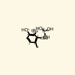 Cc1ccc(O)c(C(C)(C)C)c1C(C)(C)C.OP(O)O